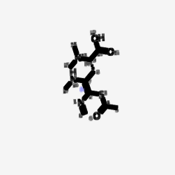 C=N/C(SC(C)=O)=C(/C[C@@H](C(=O)O)N(C)C)NC